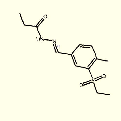 CCC(=O)N/N=C/c1ccc(C)c(S(=O)(=O)CC)c1